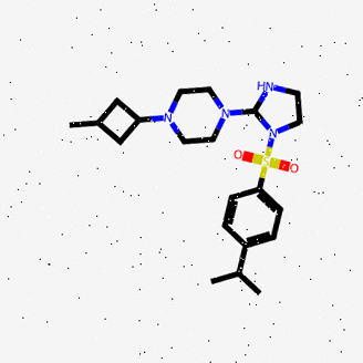 CC1CC(N2CCN(C3NCCN3S(=O)(=O)c3ccc(C(C)C)cc3)CC2)C1